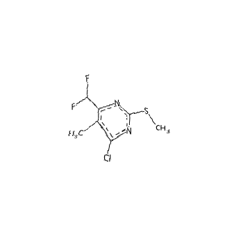 CSc1nc(Cl)c(C)c(C(F)F)n1